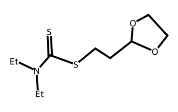 CCN(CC)C(=S)SCCC1OCCO1